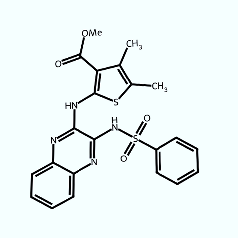 COC(=O)c1c(Nc2nc3ccccc3nc2NS(=O)(=O)c2ccccc2)sc(C)c1C